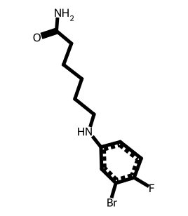 NC(=O)CCCCCNc1ccc(F)c(Br)c1